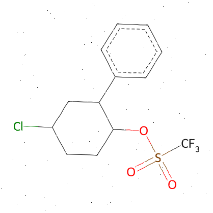 O=S(=O)(OC1CCC(Cl)CC1c1ccccc1)C(F)(F)F